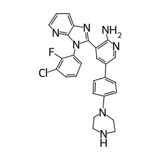 Nc1ncc(-c2ccc(N3CCNCC3)cc2)cc1-c1nc2cccnc2n1-c1cccc(Cl)c1F